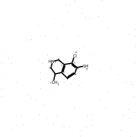 CC1CNCc2c1ccc(S)c2Cl